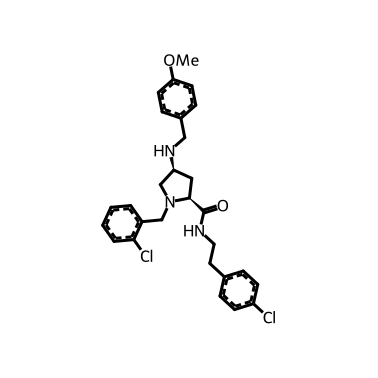 COc1ccc(CN[C@H]2C[C@@H](C(=O)NCCc3ccc(Cl)cc3)N(Cc3ccccc3Cl)C2)cc1